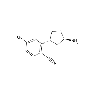 N#Cc1ccc(Cl)cc1[C@@H]1CC[C@@H](N)C1